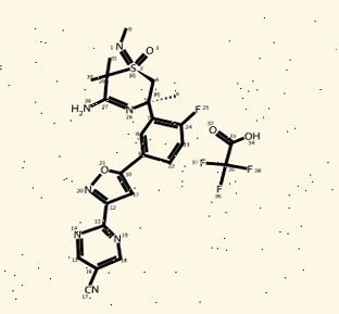 CN=[S@@]1(=O)C[C@@](C)(c2cc(-c3cc(-c4ncc(C#N)cn4)no3)ccc2F)N=C(N)C1(C)C.O=C(O)C(F)(F)F